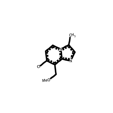 COCc1c(Cl)ccn2c(C)cnc12